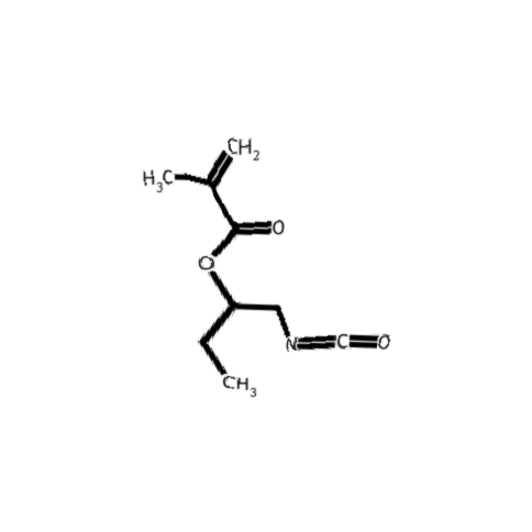 C=C(C)C(=O)OC(CC)CN=C=O